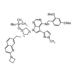 COc1ccc(CNc2ncnc3c2c(-c2ccn(C)n2)cn3[C@@H]2C[C@H](CCc3ccc4ccc(N5CCC5)nc4c3)[C@@H](O[Si](C)(C)C(C)(C)C)C2)c(OC)c1